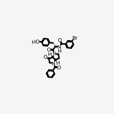 O=C(N[C@@H](Cc1ccc(O)cc1)C(=O)N1CC[C@@H]2[C@H]1C(=O)CN2C(=O)c1ccccc1)c1cccc(Br)c1